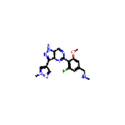 CNCc1cc(F)c(-c2ncc3[nH]nc(-c4cnn(C)c4)c3n2)c(OC)c1